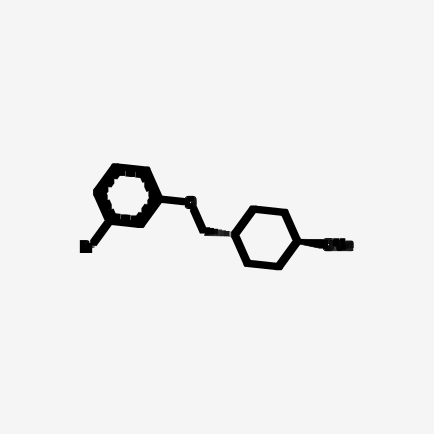 CO[C@H]1CC[C@H](COc2cccc(Br)c2)CC1